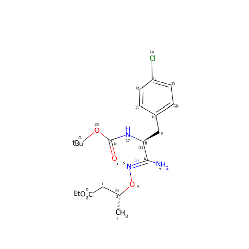 CCOC(=O)C[C@@H](C)O/N=C(\N)[C@H](Cc1ccc(Cl)cc1)NC(=O)OC(C)(C)C